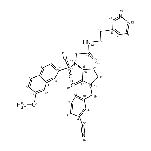 COc1ccc2ccc(S(=O)(=O)N(CC(=O)NCCc3cccnc3)[C@H]3CCN(Cc4cccc(C#N)c4)C3=O)cc2c1